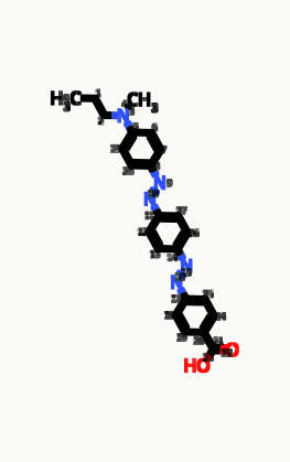 CCCN(C)c1ccc(N=Nc2ccc(N=Nc3ccc(C(=O)O)cc3)cc2)cc1